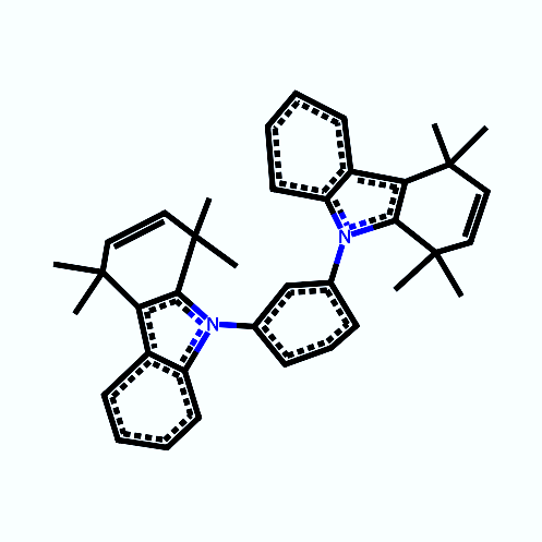 CC1(C)C=CC(C)(C)c2c1c1ccccc1n2-c1cccc(-n2c3c(c4ccccc42)C(C)(C)C=CC3(C)C)c1